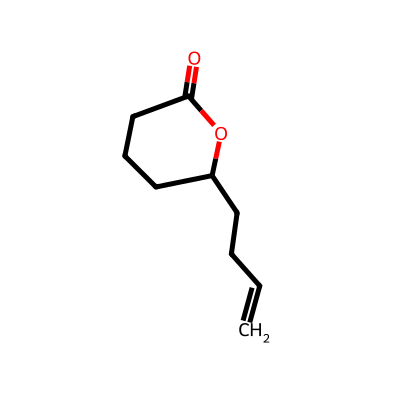 C=CCCC1CCCC(=O)O1